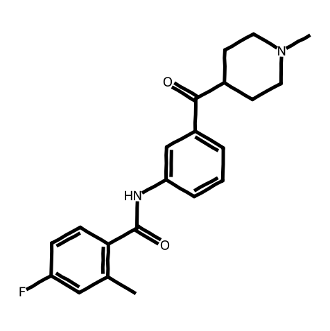 Cc1cc(F)ccc1C(=O)Nc1cccc(C(=O)C2CCN(C)CC2)c1